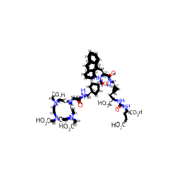 O=C(O)CC[C@H](NC(=O)N[C@@H](C[C@@H]1C[C@H]1CNC(=O)[C@H](Cc1c2ccccc2cc2ccccc12)NC(=O)[C@H]1CC[C@H](CNC(=O)CN2CCN(CC(=O)O)CCN(CC(=O)O)CCN(CC(=O)O)CC2)CC1)C(=O)O)C(=O)O